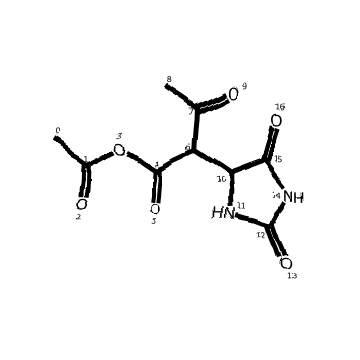 CC(=O)OC(=O)C(C(C)=O)C1NC(=O)NC1=O